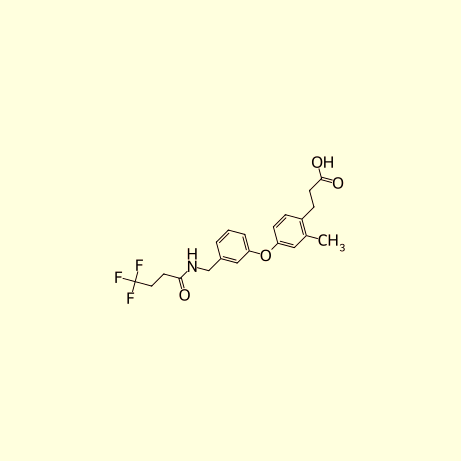 Cc1cc(Oc2cccc(CNC(=O)CCC(F)(F)F)c2)ccc1CCC(=O)O